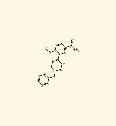 COc1ccc(C(N)=O)cc1N1CCN(Cc2ccccc2)CC1